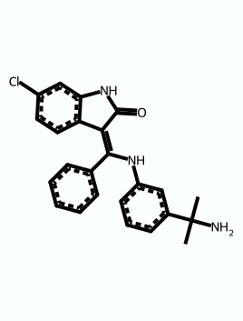 CC(C)(N)c1cccc(N/C(=C2\C(=O)Nc3cc(Cl)ccc32)c2ccccc2)c1